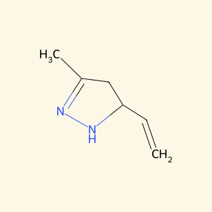 C=CC1CC(C)=NN1